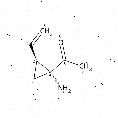 C=C[C@@H]1C[C@]1(N)C(C)=O